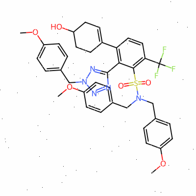 COc1ccc(CN(Cc2ccc(OC)cc2)S(=O)(=O)c2c(C(F)(F)F)ccc(C3=CCC(O)CC3)c2-c2nnn(Cc3ccc(OC)cc3)n2)cc1